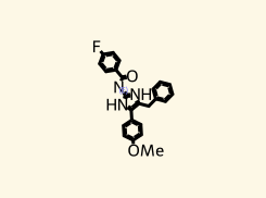 COc1ccc(-c2[nH]/c(=N/C(=O)c3ccc(F)cc3)[nH]c2Cc2ccccc2)cc1